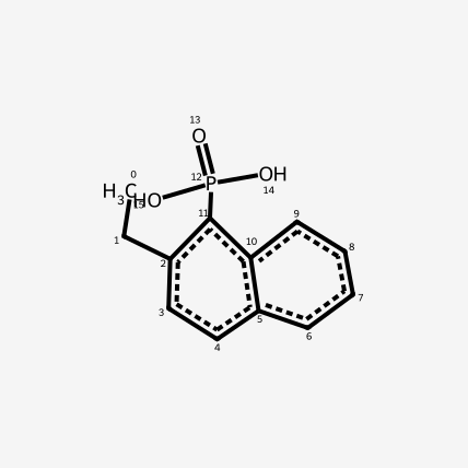 CCc1ccc2ccccc2c1P(=O)(O)O